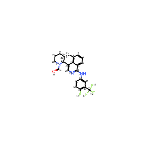 Cc1cccc2c(Nc3ccc(F)c(C(F)(F)F)c3)ncc(C3CCCCN3C=O)c12